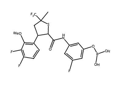 COc1c(C2CC(C)(C(F)(F)F)SC2C(=O)Nc2cc(F)cc(OB(O)O)c2)ccc(F)c1F